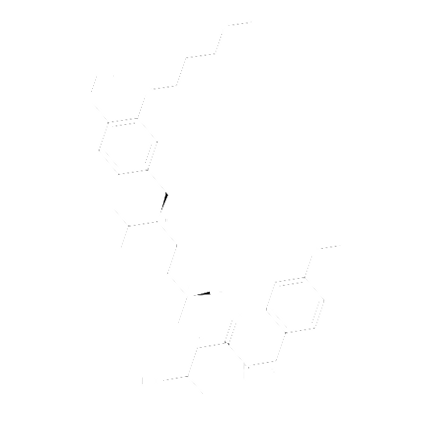 COCCCOc1cc(C[C@@H](CC[C@@H](O)C[C@H](C(=O)N[C@@H](C)c2ccc(OC)cc2)C(C)C)C(C)C)ccc1OC